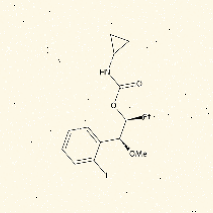 CC[C@H](OC(=O)NC1CC1)[C@@H](OC)c1ccccc1I